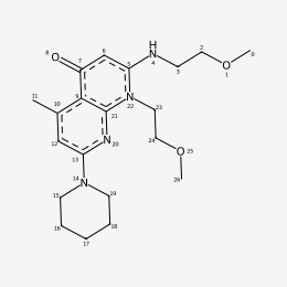 COCCNc1cc(=O)c2c(C)cc(N3CCCCC3)nc2n1CCOC